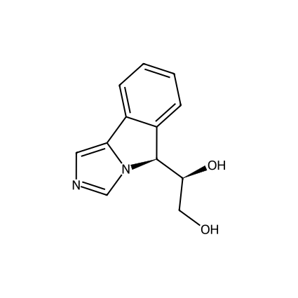 OC[C@H](O)[C@@H]1c2ccccc2-c2cncn21